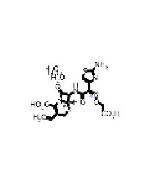 C=CC1=C(C(=O)O)N2C(=O)C(NC(=O)/C(=N\OCC(=O)O)c3csc(N)n3)[C@@H]2SC1.O.O.O